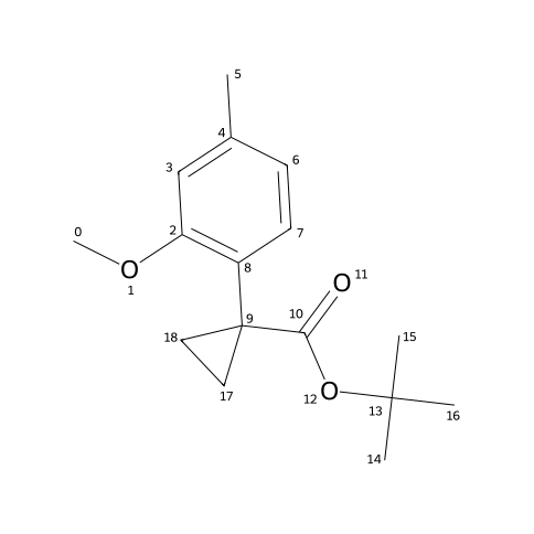 COc1cc(C)ccc1C1(C(=O)OC(C)(C)C)CC1